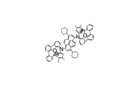 Cc1ccc(N(c2cc(C3CCCCC3)c3ccc4c(N(c5ccc(C)c(C)c5)c5cccc6c5oc5c(-c7ccccc7C(C)C)cccc56)cc(C5CCCCC5)c5ccc2c3c54)c2cccc3c2oc2c(-c4ccccc4C(C)C)cccc23)cc1C